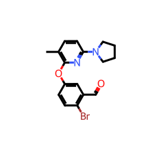 Cc1ccc(N2CCCC2)nc1Oc1ccc(Br)c(C=O)c1